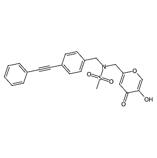 CS(=O)(=O)N(Cc1ccc(C#Cc2ccccc2)cc1)Cc1cc(=O)c(O)co1